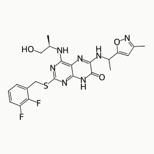 Cc1cc(C(C)Nc2nc3c(N[C@H](C)CO)nc(SCc4cccc(F)c4F)nc3[nH]c2=O)on1